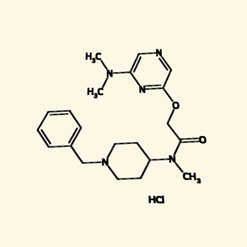 CN(C)c1cncc(OCC(=O)N(C)C2CCN(Cc3ccccc3)CC2)n1.Cl